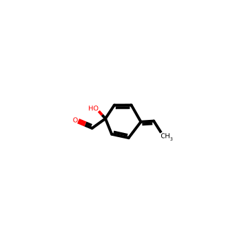 CC=C1C=CC(O)(C=O)C=C1